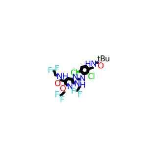 CC(C)(C)C(=O)NCc1ccc(Cl)c(Nc2nc3cc(C(=O)NCC(F)F)c(OCC(F)F)nc3n2CC(F)F)c1Cl